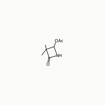 CC(=O)OC1NC(=O)C1(C)C